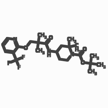 CC(C)(C)OC(=O)N1CCC(NC(=O)C(C)(C)COc2ncccc2C(F)(F)F)CC1(C)C